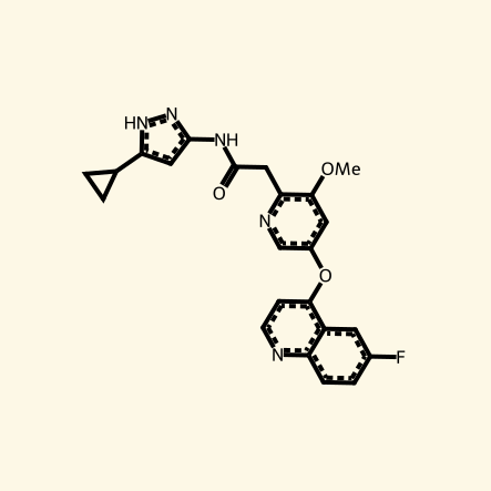 COc1cc(Oc2ccnc3ccc(F)cc23)cnc1CC(=O)Nc1cc(C2CC2)[nH]n1